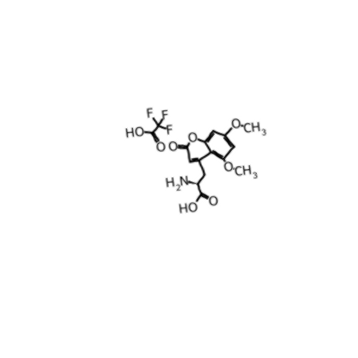 COc1cc(OC)c2c(C[C@H](N)C(=O)O)cc(=O)oc2c1.O=C(O)C(F)(F)F